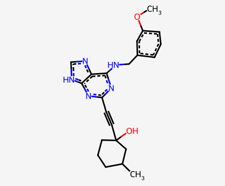 COc1cccc(CNc2nc(C#CC3(O)CCCC(C)C3)nc3[nH]cnc23)c1